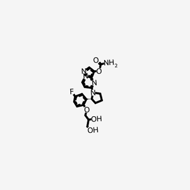 NC(=O)Oc1cnn2ccc(N3CCC[C@@H]3c3cc(F)ccc3OCC(O)CO)nc12